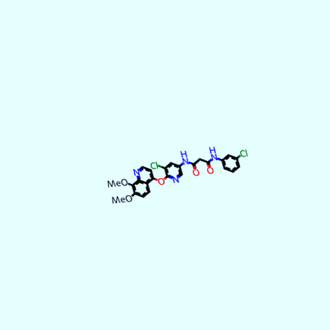 COc1ccc2c(Oc3ncc(NC(=O)CC(=O)Nc4cccc(Cl)c4)cc3Cl)ccnc2c1OC